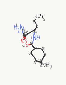 CCCC(NC(=O)C1CCC(C)CC1)C(N)=O